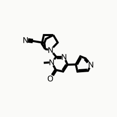 Cn1c(N2CC3CCC2C(C#N)C3)nc(-c2ccncc2)cc1=O